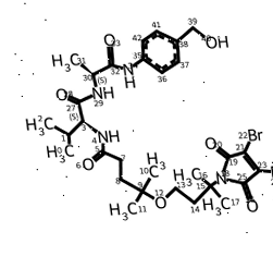 CC(C)[C@H](NC(=O)CCC(C)(C)OCCC(C)(C)N1C(=O)C(Br)=C(Br)C1=O)C(=O)N[C@@H](C)C(=O)Nc1ccc(CO)cc1